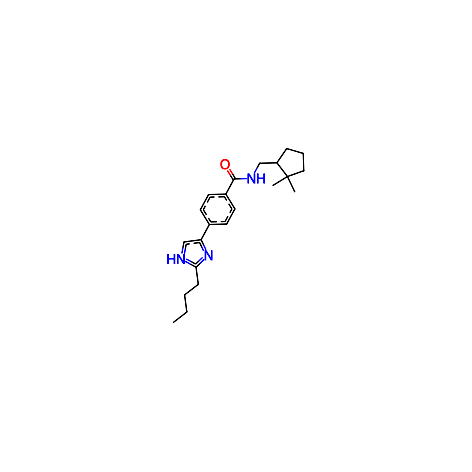 CCCCc1nc(-c2ccc(C(=O)NCC3CCCC3(C)C)cc2)c[nH]1